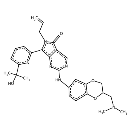 C=CCn1c(=O)c2cnc(Nc3ccc4c(c3)OCC(CN(C)C)O4)nc2n1-c1cccc(C(C)(C)O)n1